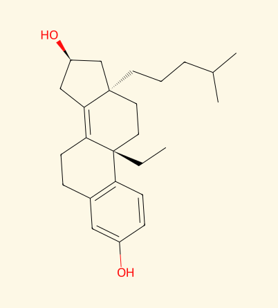 CC[C@]12CC[C@]3(CCCC(C)C)C[C@H](O)CC3=C1CCc1cc(O)ccc12